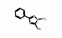 [CH2]n1nc(-c2ccccc2)nc1CCCC